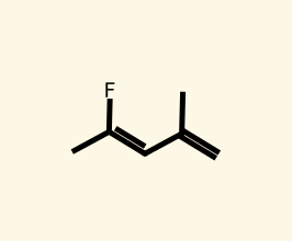 C=C(C)C=C(C)F